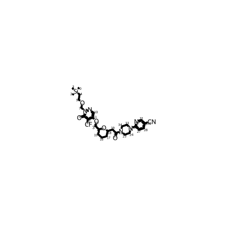 C[Si](C)(C)CCOCn1ncc(OCC2CCCC(CC(=O)N3CCN(c4ccc(C#N)cn4)CC3)O2)c(C(F)(F)F)c1=O